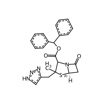 CC1(Cc2c[nH]nn2)S[C@@H]2CC(=O)N2C1C(=O)OC(c1ccccc1)c1ccccc1